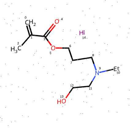 C=C(C)C(=O)OCCCN(CC)CCO.I